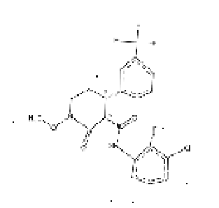 CON1CC[C@H](c2cccc(C(F)(F)F)c2)[C@@H](C(=O)Nc2cccc(Cl)c2F)C1=O